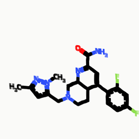 Cc1cc(CN2CCC3C(c4ccc(F)cc4F)=CC(C(N)=O)=NC3C2)n(C)n1